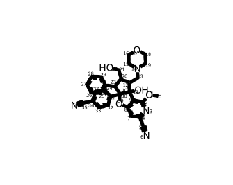 COc1nc(C#N)cc2c1C1(O)C(CN3CCOCC3)C(CO)C(c3ccccc3)C1(c1ccc(C#N)cc1)O2